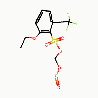 CCOc1cccc(C(F)(F)F)c1S(=O)(=O)OCOP=O